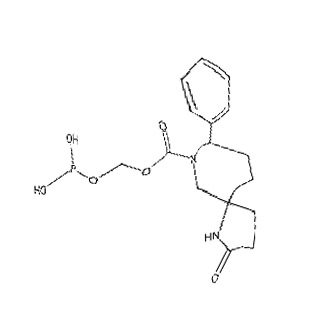 O=C1CCC2(CCC(c3ccccc3)N(C(=O)OCOP(O)O)C2)N1